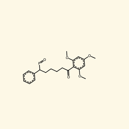 COc1cc(OC)c(C(=O)CCCCC(P=O)c2ccccc2)c(OC)c1